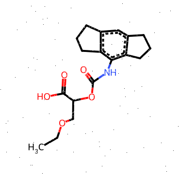 CCOCC(OC(=O)Nc1c2c(cc3c1CCC3)CCC2)C(=O)O